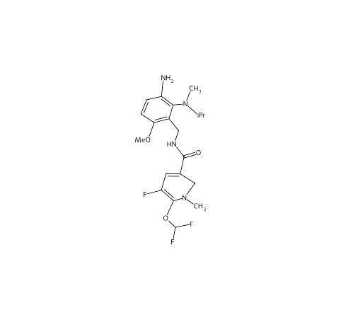 COc1ccc(N)c(N(C)C(C)C)c1CNC(=O)C1=CC(F)=C(OC(F)F)N(C)C1